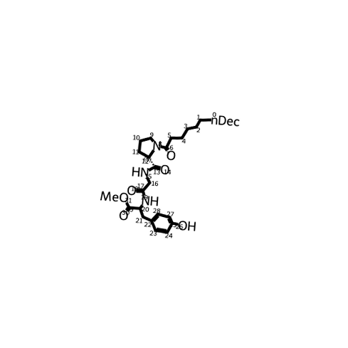 CCCCCCCCCCCCCCCC(=O)N1CCC[C@H]1C(=O)NCC(=O)NC(Cc1ccc(O)cc1)C(=O)OC